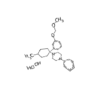 COCOc1cccc(C2(N3CCN(c4ccccc4)CC3)CCC(C)CC2)c1.Cl.Cl